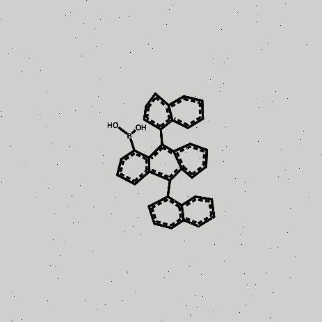 OB(O)c1cccc2c(-c3cccc4ccccc34)c3ccccc3c(-c3cccc4ccccc34)c12